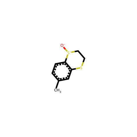 Cc1ccc2c(c1)SCC[S+]2[O-]